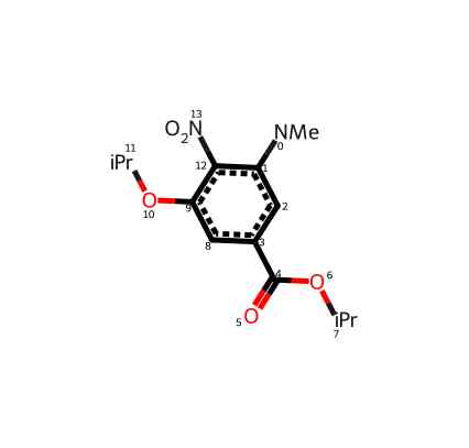 CNc1cc(C(=O)OC(C)C)cc(OC(C)C)c1[N+](=O)[O-]